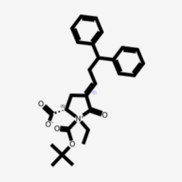 CC[N+]1(C(=O)OC(C)(C)C)C(=O)/C(=C/CC(c2ccccc2)c2ccccc2)C[C@H]1C(=O)[O-]